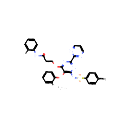 COc1ccccc1Oc1c(NS(=O)(=O)c2ccc(C(C)C)cc2)nc(-c2ncccn2)nc1OCCC(=O)Nc1ccccc1C(C)C